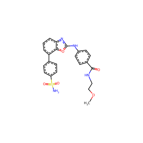 COCCNC(=O)c1ccc(Nc2nc3cccc(-c4ccc(S(N)(=O)=O)cc4)c3o2)cc1